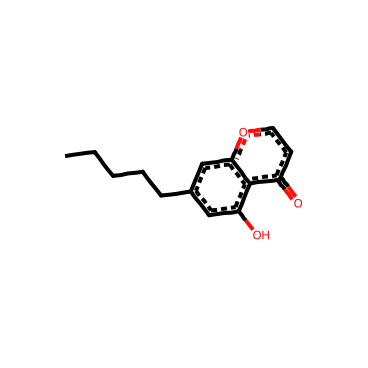 CCCCCc1cc(O)c2c(=O)ccoc2c1